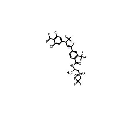 CC(CS(=O)(=O)CC(F)(F)F)NC(=O)c1ccc(/C(F)=C/C(c2cc(Cl)c(C(F)F)c(Cl)c2)C(F)(F)F)cc1C(F)(F)F